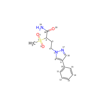 CS(=O)(=O)C(CCn1cc(-c2ccccc2)cn1)C(N)=O